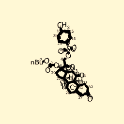 CCCCOC(=O)O[C@]1(C(=O)COS(=O)(=O)c2ccc(C)cc2)CC[C@H]2[C@@H]3CCC4=CC(=O)CC[C@]4(C)[C@H]3C(=O)C[C@@]21C